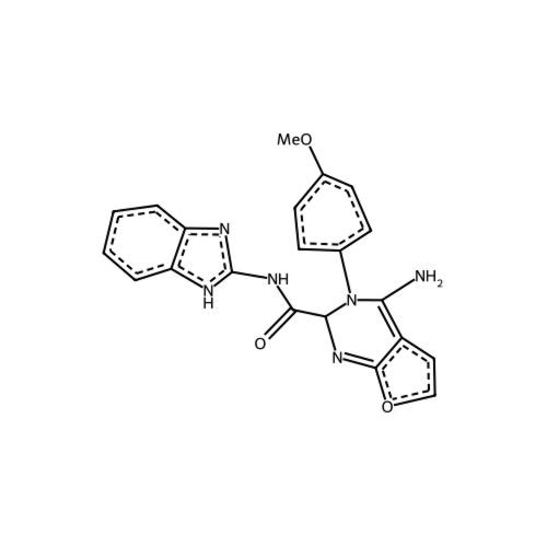 COc1ccc(N2C(N)=c3ccoc3=NC2C(=O)Nc2nc3ccccc3[nH]2)cc1